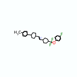 Cc1ccc(C2CCC(/C=C/C3CCC(C(F)(F)Oc4ccc(F)cc4)CC3)CC2)cc1